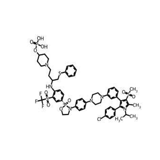 Cc1c(S(C)(=O)=O)c(-c2cccc(N3CCN(c4ccc(N5CCO[P@]5(=O)c5ccc(NC(CCN6CCC(OP(=O)(O)O)CC6)CSc6ccccc6)c(S(=O)(=O)C(F)(F)F)c5)cc4)CC3)c2)c(-c2ccc(Cl)cc2)n1C(C)C